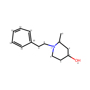 CC1CC(O)CCN1CCc1ccccc1